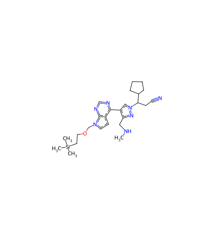 CNCc1nn(C(CC#N)C2CCCC2)cc1-c1ncnc2c1ccn2COCC[Si](C)(C)C